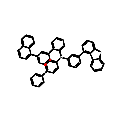 c1ccc(-c2ccc(N(c3cccc(-c4cccc5sc6ccccc6c45)c3)c3ccccc3-c3cccc(-c4cccc5ccccc45)c3)cc2)cc1